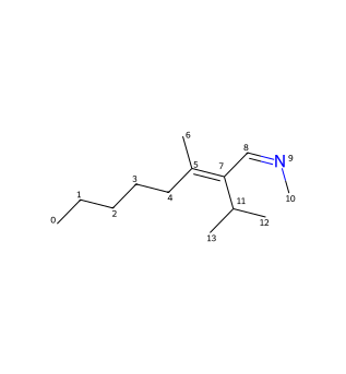 CCCCC/C(C)=C(/C=N\C)C(C)C